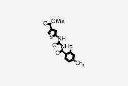 COC(=O)c1csc(NC(=O)NC(=O)c2ccc(C(F)(F)F)cc2F)c1